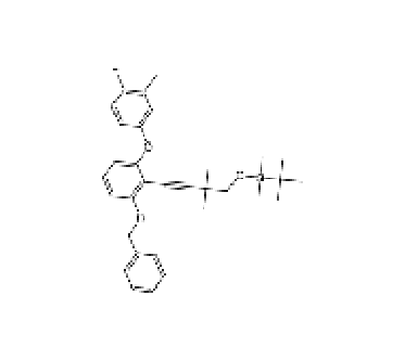 Cc1cc(Oc2cccc(OCc3ccccc3)c2C#CC(C)(C)CO[Si](C)(C)C(C)(C)C)ccc1F